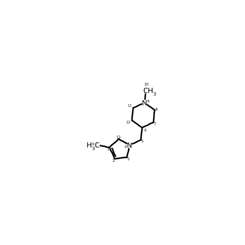 CC1=CCN(CC2CCN(C)CC2)C1